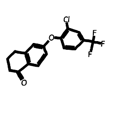 O=C1CCCc2cc(Oc3ccc(C(F)(F)F)cc3Cl)ccc21